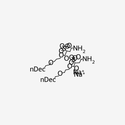 CCCCCCCCCCCCOCCCOC(=O)C(CC(N)=O)S(=O)(=O)[O-].CCCCCCCCCCCCOCCCOC(=O)C(CC(N)=O)S(=O)(=O)[O-].[Na+].[Na+]